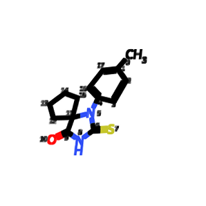 Cc1ccc(N2C(=S)NC(=O)C23CCCC3)cc1